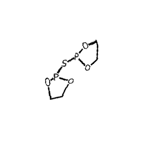 C1COP(SP2OCCO2)O1